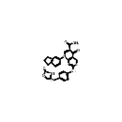 NC(=O)c1cn(-c2ccc3c(c2)CCC3)c2nc(Nc3ccc(C[C@H]4COC(=O)N4)cc3)ncc2c1=O